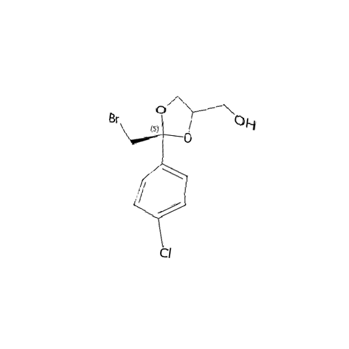 OCC1CO[C@@](CBr)(c2ccc(Cl)cc2)O1